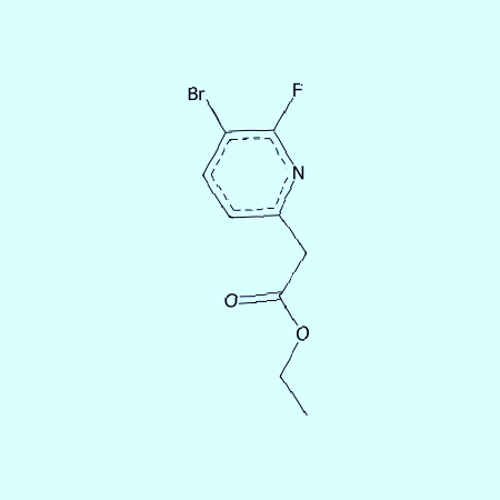 CCOC(=O)Cc1ccc(Br)c(F)n1